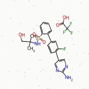 CC(C)(CO)NS(=O)(=O)c1ccccc1-c1ccc(-c2cnc(N)nc2)c(F)c1.O=C(O)C(F)(F)F